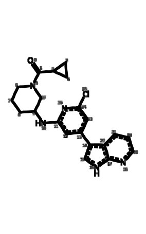 O=C(C1CC1)N1CCCC(Nc2cc(-c3c[nH]c4ncccc34)cc(Cl)n2)C1